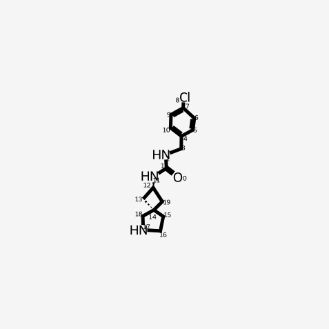 O=C(NCc1ccc(Cl)cc1)N[C@H]1C[C@@]2(CCNC2)C1